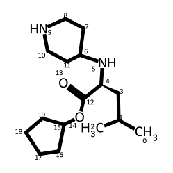 CC(C)C[C@H](NC1CCNCC1)C(=O)OC1CCCC1